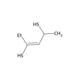 CC/C(S)=C\C(C)S